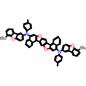 Cc1ccc(N(c2ccc3oc4c(C(C)(C)C)cccc4c3c2)c2cc3oc4cc5c(cc4c3c3ccccc23)oc2cc(N(c3ccc(C)cc3)c3ccc4oc6c(C(C)(C)C)cccc6c4c3)c3ccccc3c25)cc1